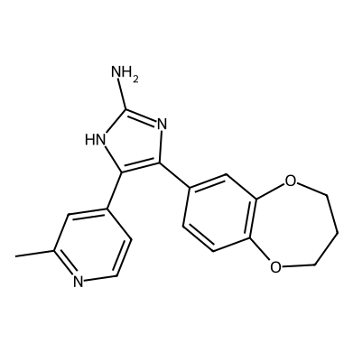 Cc1cc(-c2[nH]c(N)nc2-c2ccc3c(c2)OCCCO3)ccn1